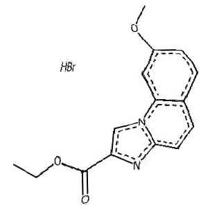 Br.CCOC(=O)c1cn2c(ccc3ccc(OC)cc32)n1